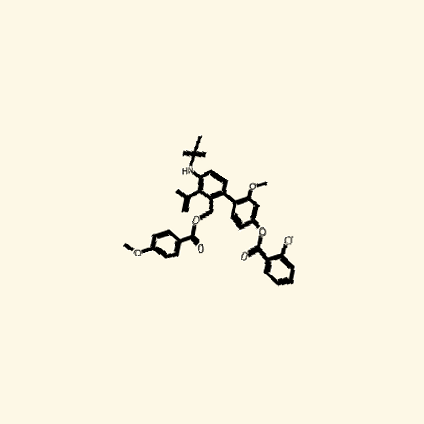 C=C(C)c1c(NC(C)(C)C)ccc(-c2ccc(OC(=O)c3ccccc3Cl)cc2OC)c1COC(=O)c1ccc(OC)cc1